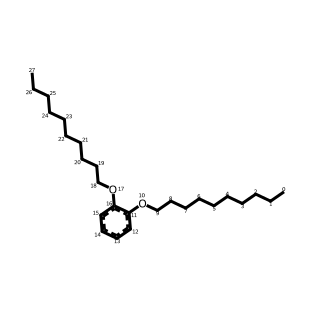 CCCCCCCCCCOc1ccccc1OCCCCCCCCCC